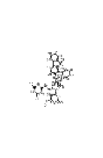 CCC1CC(C)CC(CC(O[N+]2(OC)C3[n+]4ccccc4-c4c(ccc5c4C(C)(C)c4ccccc4-5)C32C)[C@H](C)CC2CC(C)CC(C)C2)C1